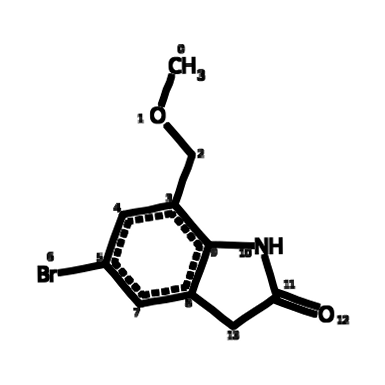 COCc1cc(Br)cc2c1NC(=O)C2